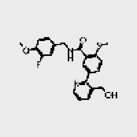 COc1ccc(CNC(=O)c2cc(-c3ncccc3CO)ccc2SC)cc1F